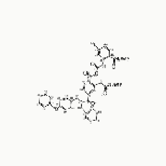 COC(=O)Cc1cc(C(=O)N(Cc2ccccc2)Cc2ccc(Oc3ccccc3)cc2)ccc1C(=O)OC(=O)Cc1cc(I)ccc1C(=O)OC